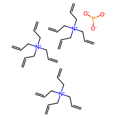 C=CC[N+](CC=C)(CC=C)CC=C.C=CC[N+](CC=C)(CC=C)CC=C.C=CC[N+](CC=C)(CC=C)CC=C.[O-]P([O-])[O-]